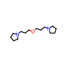 C1CCN(CCCOCCCN2CCCC2)C1